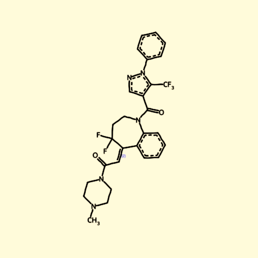 CN1CCN(C(=O)/C=C2/c3ccccc3N(C(=O)c3cnn(-c4ccccc4)c3C(F)(F)F)CCC2(F)F)CC1